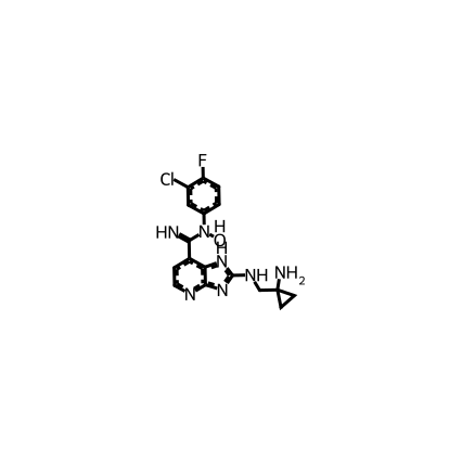 N=C(c1ccnc2nc(NCC3(N)CC3)[nH]c12)N(O)c1ccc(F)c(Cl)c1